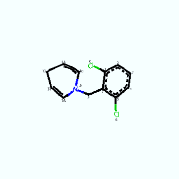 Clc1cccc(Cl)c1CN1C=CCC=C1